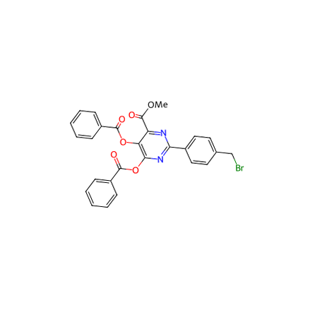 COC(=O)c1nc(-c2ccc(CBr)cc2)nc(OC(=O)c2ccccc2)c1OC(=O)c1ccccc1